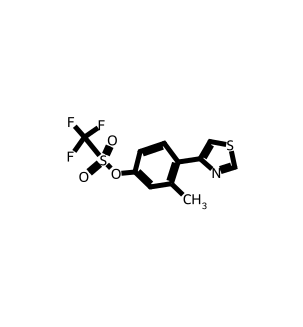 Cc1cc(OS(=O)(=O)C(F)(F)F)ccc1-c1cscn1